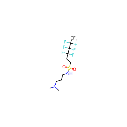 CN(C)CCCNS(=O)(=O)CCC(F)(F)C(F)(F)C(F)(F)C(F)(F)F